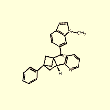 Cn1ccc2ccc(C(=O)C34CC(c5ccccc5)(C[C@H]3c3ccccn3)C4)cc21